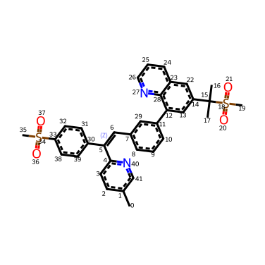 Cc1ccc(/C(=C\c2cccc(-c3cc(C(C)(C)S(C)(=O)=O)cc4cccnc34)c2)c2ccc(S(C)(=O)=O)cc2)nc1